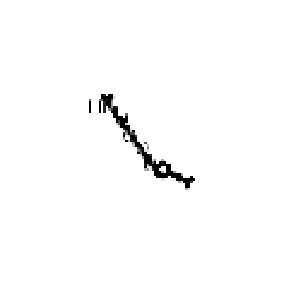 CC(C)C#Cc1ccc(OCCOCCOCCOCCNC(C)C)cc1